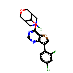 Fc1cc(Cl)ccc1-c1csc2c(OC3C4COCC3CN(Cl)C4)ncnc12